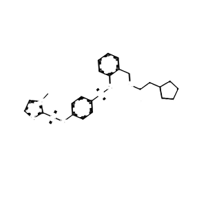 C[C@@H](CC1CCCC1)NCc1ccccc1NS(=O)(=O)c1ccc(NS(=O)(=O)c2nccn2C)cc1